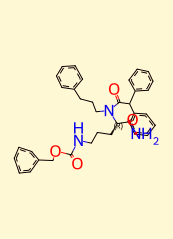 NC(=O)[C@@H](CCCNC(=O)OCc1ccccc1)N(CCCc1ccccc1)C(=O)C(c1ccccc1)c1ccccc1